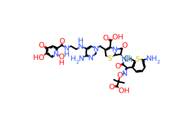 CC(C)(O/N=C(\C(=O)N[C@@H]1C(=O)N2C(C(=O)O)=C(CN3C=C(NCCNC(=O)c4cc(=O)c(O)cn4O)C(N)=NC3)CSC12)C1=C(Cl)SC(N)=CC=C1)C(=O)O